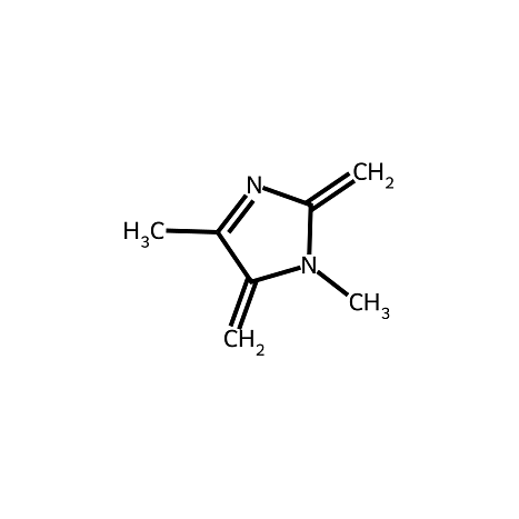 C=c1nc(C)c(=C)n1C